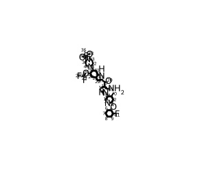 Cc1cc(Oc2ccccc2F)ncc1-n1ncc(C(=O)c2cc3cc(OC(F)F)c(N4CCN(S(C)(=O)=O)CC4)cc3[nH]2)c1N